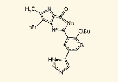 CCCc1c2nc(-c3cc(-c4cnn[nH]4)cnc3OCC(C)C)[nH]c(=O)c2nn1C